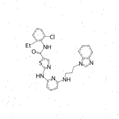 CCc1cccc(Cl)c1NC(=O)c1cnc(Nc2cccc(NCCCn3cnc4ccccc43)n2)s1